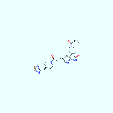 CC(=O)N1CCC2(CC1)C(=O)Nc1ncc(/C=C/C(=O)N3CCC(=Cc4ncsn4)CC3)cc12